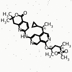 C[C@H](C[C@@H](C)S(C)(=O)=O)Oc1ncc([C@H](C)C2CC2)c2cc(Nc3ccc4c(n3)CC(C)(C)OC4=O)ncc12